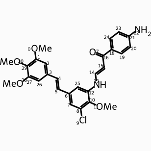 COc1cc(C=Cc2cc(Cl)c(OC)c(NC=CC(=O)c3ccc(N)cc3)c2)cc(OC)c1OC